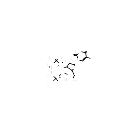 CC(C)(C)[Si](C)(C)OC[C@@]1(CO)O[C@@H](n2cc(F)c(=O)[nH]c2=O)[C@@H](F)C1O[Si](C)(C)C(C)(C)C